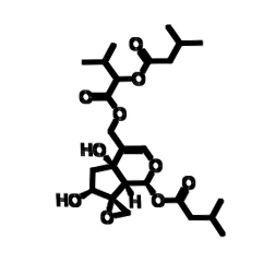 CC(C)CC(=O)OC(C(=O)OCC1=CO[C@@H](OC(=O)CC(C)C)[C@@H]2[C@@]3(CO3)[C@@H](O)C[C@]12O)C(C)C